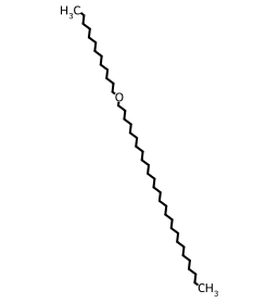 CCCCCCCCCCCCCCCCCCCCCCCCCCCCOCCCCCCCCCCCCC